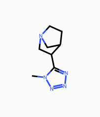 Cn1nnnc1C1CN2CCC1C2